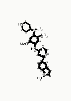 COc1cc(N(C)C2CCNCC2)c([N+](=O)[O-])cc1Nc1cc(-c2ccc3c(ccn3C)c2)ncn1